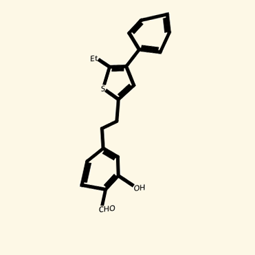 CCc1sc(CCc2ccc(C=O)c(O)c2)cc1-c1ccccc1